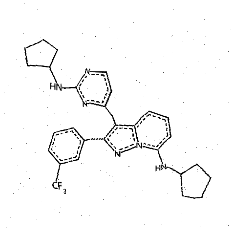 FC(F)(F)c1cccc(-c2nn3c(NC4CCCC4)cccc3c2-c2ccnc(NC3CCCC3)n2)c1